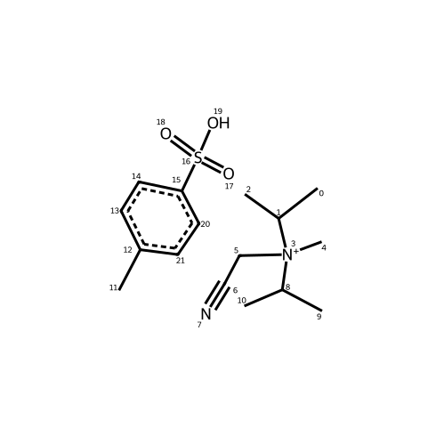 CC(C)[N+](C)(CC#N)C(C)C.Cc1ccc(S(=O)(=O)O)cc1